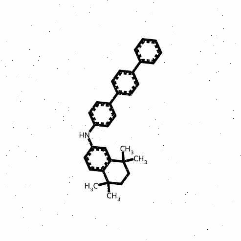 CC1(C)CCC(C)(C)c2cc(Nc3ccc(-c4ccc(-c5ccccc5)cc4)cc3)ccc21